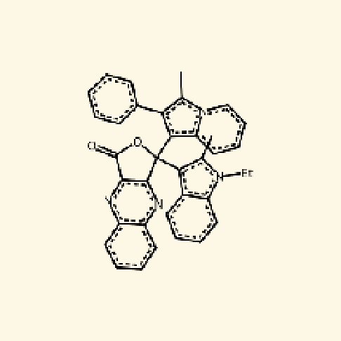 CCn1c(C)c(C2(c3c(-c4ccccc4)c(C)n4ccccc34)OC(=O)c3nc4ccccc4nc32)c2ccccc21